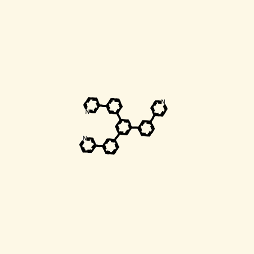 c1cncc(-c2cccc(-c3cc(-c4cccc(-c5ccncc5)c4)cc(-c4cccc(-c5cccnc5)c4)c3)c2)c1